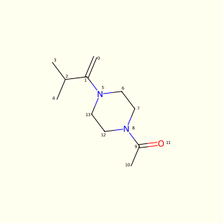 C=C(C(C)C)N1CCN(C(C)=O)CC1